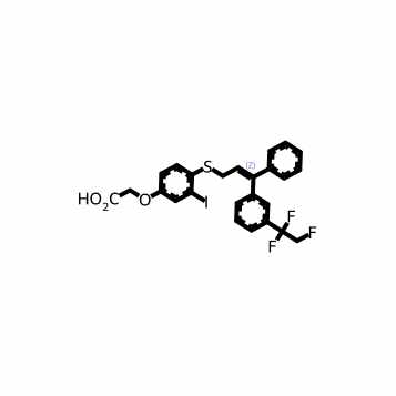 O=C(O)COc1ccc(SC/C=C(/c2ccccc2)c2cccc(C(F)(F)CF)c2)c(I)c1